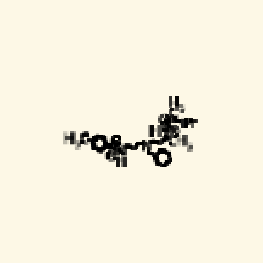 Cc1ccc(S(=O)(=O)NCCCN(CCC(C)NS(=O)(=O)C(C)C(C)C)CC2CCCCC2)cc1